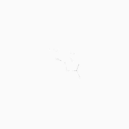 Cl.O=CNC1CC(F)CN1